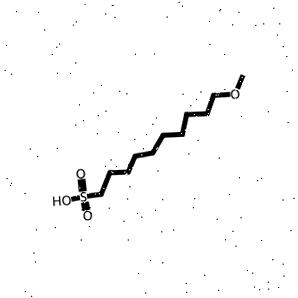 COCCCCCCCCCCS(=O)(=O)O